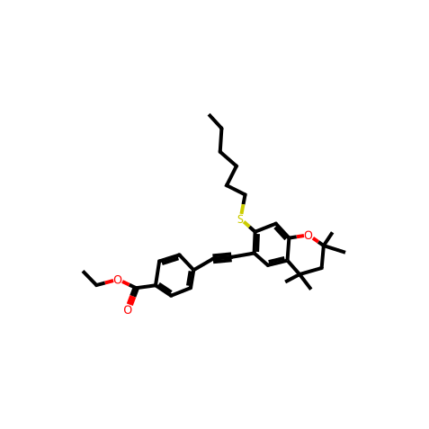 CCCCCCSc1cc2c(cc1C#Cc1ccc(C(=O)OCC)cc1)C(C)(C)CC(C)(C)O2